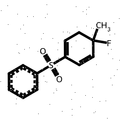 CC1(F)C=CC(S(=O)(=O)c2ccccc2)=CC1